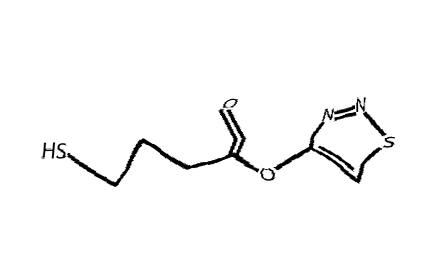 O=C(CCCS)Oc1csnn1